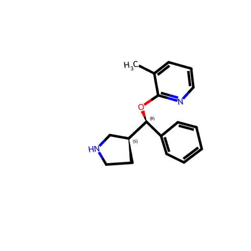 Cc1cccnc1O[C@@H](c1ccccc1)[C@H]1CCNC1